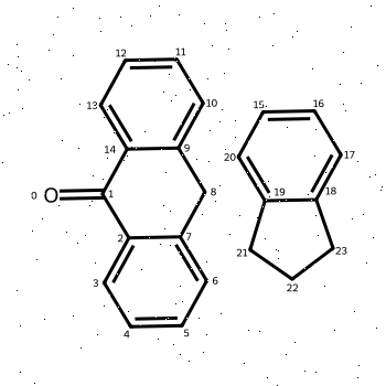 O=C1c2ccccc2Cc2ccccc21.c1ccc2c(c1)CCC2